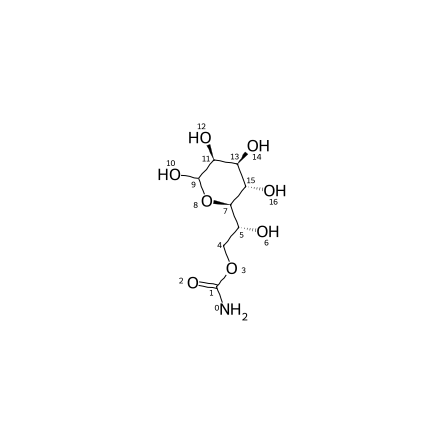 NC(=O)OC[C@@H](O)[C@H]1OC(O)[C@@H](O)[C@@H](O)[C@@H]1O